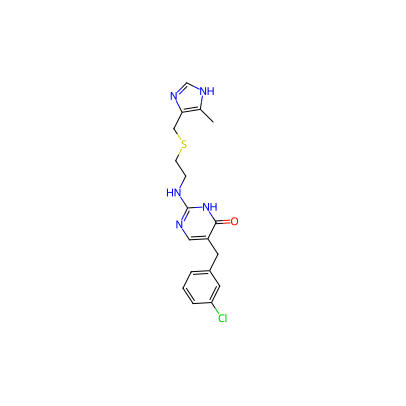 Cc1[nH]cnc1CSCCNc1ncc(Cc2cccc(Cl)c2)c(=O)[nH]1